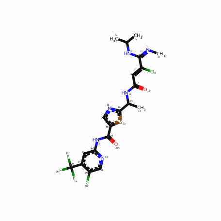 C/N=C(NC(C)C)\C(Cl)=C\C(=O)NC(C)c1ncc(C(=O)Nc2cc(C(F)(F)F)c(Cl)cn2)s1